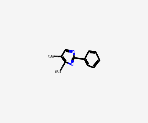 CC(C)(C)c1cnc(-c2ccccc2)nc1C(C)(C)C